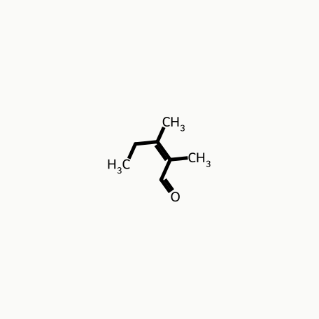 CCC(C)=C(C)C=O